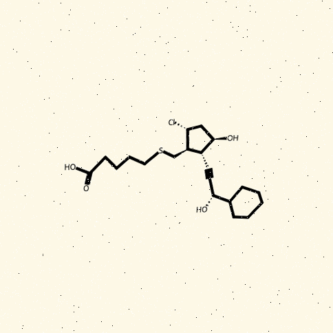 O=C(O)CCCCSC[C@@H]1[C@@H](C#C[C@@H](O)C2CCCCC2)[C@H](O)C[C@H]1Cl